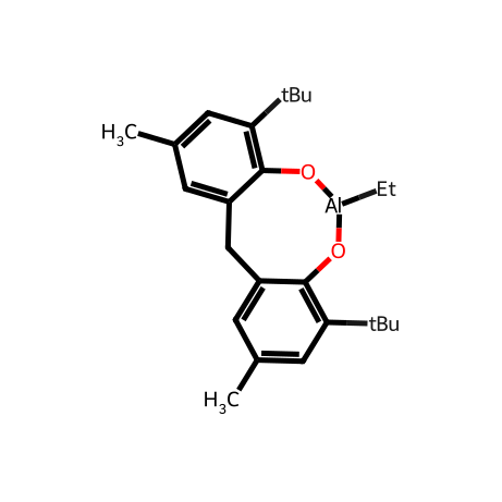 C[CH2][Al]1[O]c2c(cc(C)cc2C(C)(C)C)Cc2cc(C)cc(C(C)(C)C)c2[O]1